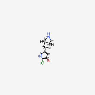 Clc1ncc(C2=C[C@@H]3CNC[C@@H]3C2)cc1Br